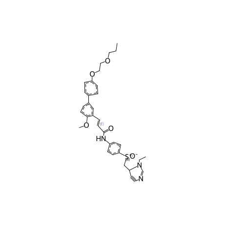 CCCOCCOc1ccc(-c2ccc(OC)c(/C=C/C(=O)Nc3ccc([S@+]([O-])CC4C#CN=CN4CC)cc3)c2)cc1